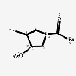 CO[C@@H]1CN(C(=O)C(C)(C)C)CC1F